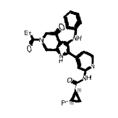 CCC(=O)N1CC(=O)c2c([nH]c(C3=CC(NC(=O)[C@@H]4C[C@@H]4F)=NCC3)c2NC2=C=C=CC=C2)C1